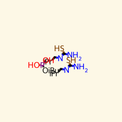 CC(C)CN=C(N)S.CC(C)CN=C(N)S.CC(C)COP(O)O